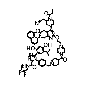 CCC(=O)N1CCN(c2nc(OCCN3CCN(C(=O)C4CCN(Cc5ccc(-n6c(C(=O)NCC(F)(F)F)nnc6-c6cc(C(C)C)c(O)cc6O)cc5)CC4)CC3)nc3c2CCN(c2cccc4cccc(Cl)c24)C3)CC1CC#N